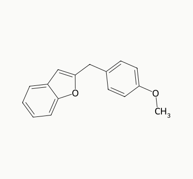 COc1ccc(Cc2cc3ccccc3o2)cc1